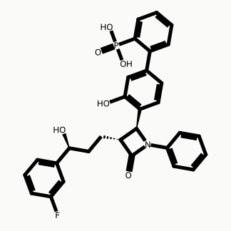 O=C1[C@H](CC[C@H](O)c2cccc(F)c2)[C@@H](c2ccc(-c3ccccc3P(=O)(O)O)cc2O)N1c1ccccc1